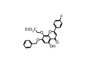 CCOC(=O)COc1c(OCc2ccccc2)cc(O)c2c(=O)cc(-c3ccc(F)cc3)oc12